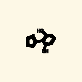 Oc1cccc(O)c1-c1cccs1